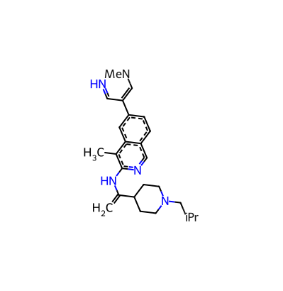 C=C(Nc1ncc2ccc(/C(C=N)=C/NC)cc2c1C)C1CCN(CC(C)C)CC1